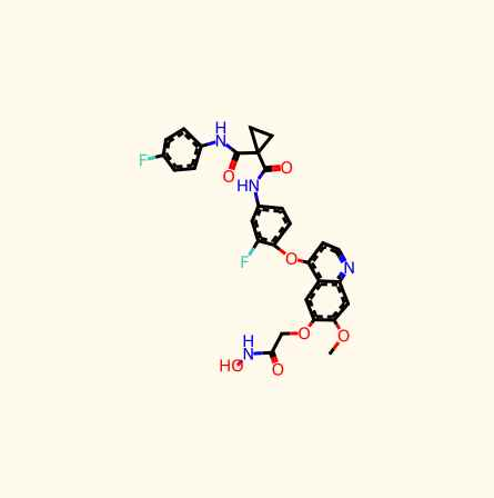 COc1cc2nccc(Oc3ccc(NC(=O)C4(C(=O)Nc5ccc(F)cc5)CC4)cc3F)c2cc1OCC(=O)NO